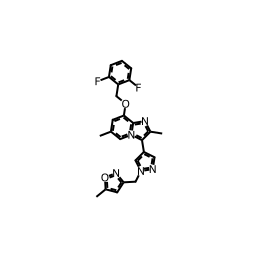 Cc1cc(OCc2c(F)cccc2F)c2nc(C)c(-c3cnn(Cc4cc(C)on4)c3)n2c1